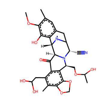 COc1c(C)cc2c(c1O)[C@H]1[C@@H]3C(=O)c4c(CC(O)O)c(C)c5c(c4[C@H](COC(C)O)N3[C@@H](C#N)C(C2)N1C)OCO5